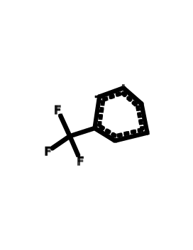 FC(F)(F)c1[c][c]ccc1